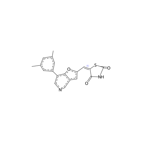 Cc1cc(C)cc(-c2cncc3cc(/C=C4/SC(=O)NC4=O)oc23)c1